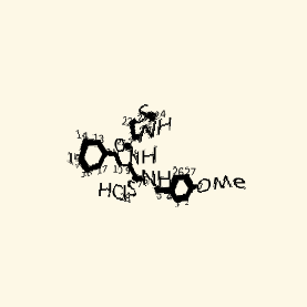 COc1ccc(CNC(=S)[C@@H](CCC2CCCCC2)NC(=O)[C@@H]2CSCN2)cc1.Cl